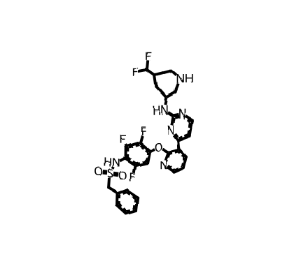 O=S(=O)(Cc1ccccc1)Nc1c(F)cc(Oc2ncccc2-c2ccnc(NC3CNCC(C(F)F)C3)n2)c(F)c1F